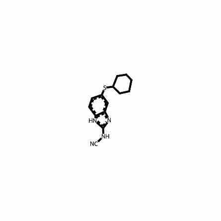 N#CNc1nc2cc(SC3CCCCC3)ccc2[nH]1